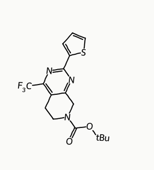 CC(C)(C)OC(=O)N1CCc2c(nc(-c3cccs3)nc2C(F)(F)F)C1